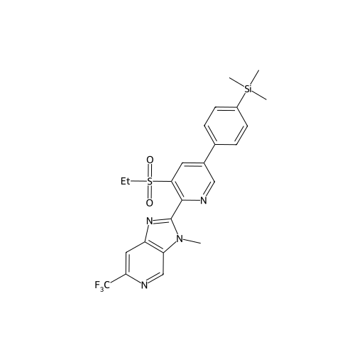 CCS(=O)(=O)c1cc(-c2ccc([Si](C)(C)C)cc2)cnc1-c1nc2cc(C(F)(F)F)ncc2n1C